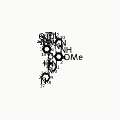 COc1cc2c(cc1Nc1ncc(Cl)c(Nc3ccccc3N(C)S(=O)(=O)C(C)C)n1)OC[C@H]1CN(C3CCN(C)CC3)CCN21